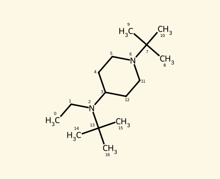 CCN(C1CCN(C(C)(C)C)CC1)C(C)(C)C